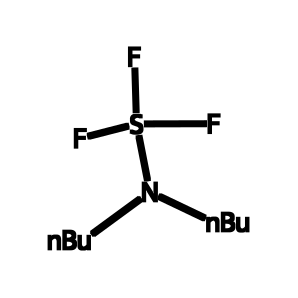 CCCCN(CCCC)S(F)(F)F